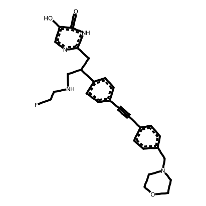 O=c1[nH]c(CC(CNCCF)c2ccc(C#Cc3ccc(CN4CCOCC4)cc3)cc2)ncc1O